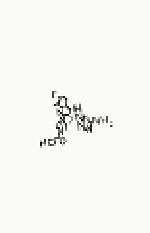 Cc1c(F)ccc2cc([C@H](C)Nc3ncnc(N)n3)c(N3CCN(C(=O)CO)CC3)nc12